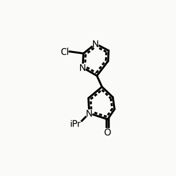 CC(C)n1cc(-c2ccnc(Cl)n2)ccc1=O